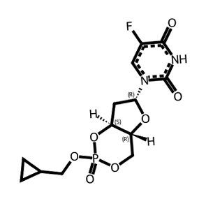 O=c1[nH]c(=O)n([C@H]2C[C@@H]3OP(=O)(OCC4CC4)OC[C@H]3O2)cc1F